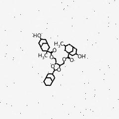 CC1CC2CC(O)CC(C(=O)OCC3OC(C4CC5CCCC(C5)C4)OC3COC(=O)C3(C)CC4CC(O)CC(C4)C3)(C1)C2